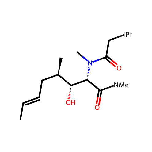 C/C=C/C[C@@H](C)[C@@H](O)[C@@H](C(=O)NC)N(C)C(=O)CC(C)C